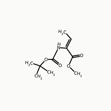 CC=C(NC(=O)OC(C)(C)C)C(=O)OC